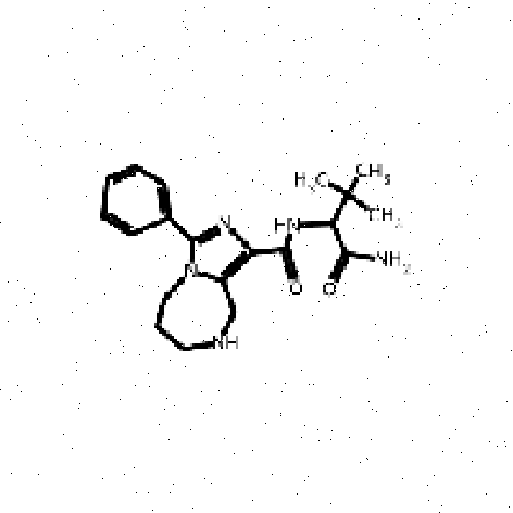 CC(C)(C)C(NC(=O)c1nc(-c2ccccc2)n2c1CNCCC2)C(N)=O